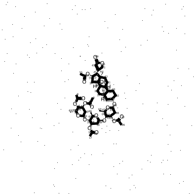 CC(=O)O[C@H]1[C@@H](OC(C)=O)C[C@H](O[C@H]2[C@@H](OC(C)=O)C[C@H](O[C@H]3[C@@H](OC(C)=O)C[C@H](O[C@H]4CC[C@@]5(C)[C@H](CC[C@@H]6[C@@H]5CC[C@]5(C)[C@@H](C7=CC(=O)OC7)[C@@H](OC(C)=O)C[C@]65O)C4)O[C@@H]3C)O[C@@H]2C)O[C@@H]1C